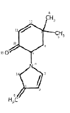 C=C1C=CN(C2CC(C)(C)C=CC2=O)C1